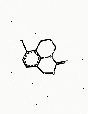 O=C1OCc2ccc(Cl)c3c2N1CCC3